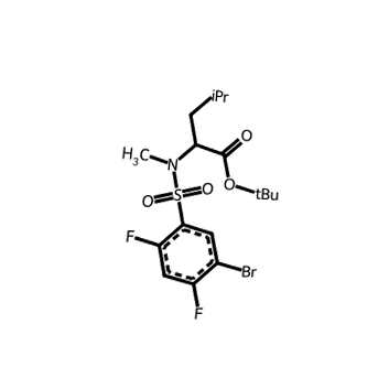 CC(C)CC(C(=O)OC(C)(C)C)N(C)S(=O)(=O)c1cc(Br)c(F)cc1F